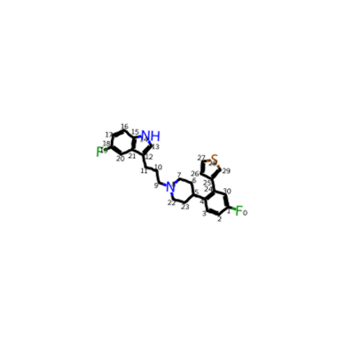 Fc1ccc(C2CCN(CCCc3c[nH]c4ccc(F)cc34)CC2)c(-c2ccsc2)c1